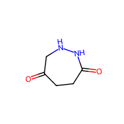 O=C1CCC(=O)NNC1